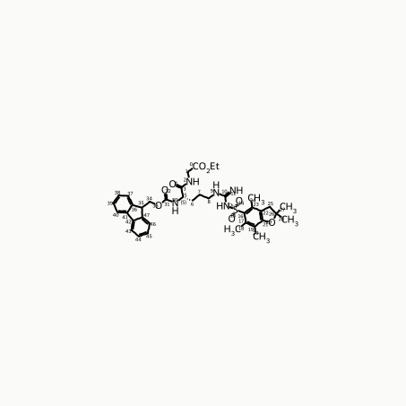 CCOC(=O)CNC(=O)[C@H](CCCNC(=N)NS(=O)(=O)c1c(C)c(C)c2c(c1C)CC(C)(C)O2)NC(=O)OCC1c2ccccc2-c2ccccc21